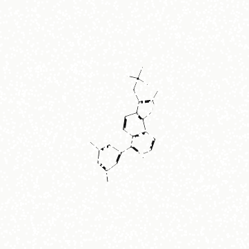 Cc1cc(C)cc(-c2nccc3c2ccc2c(CC(C)(C)C)c(C)oc23)c1